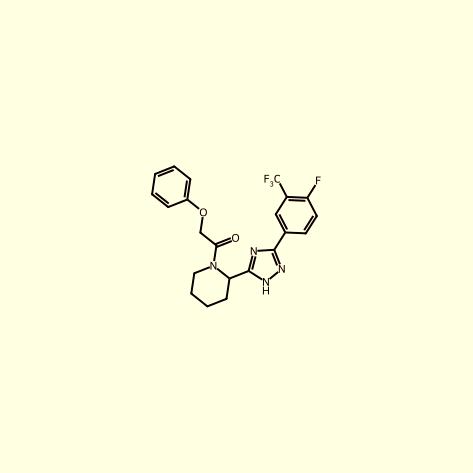 O=C(COc1ccccc1)N1CCCCC1c1nc(-c2ccc(F)c(C(F)(F)F)c2)n[nH]1